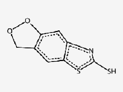 Sc1nc2cc3c(cc2s1)COO3